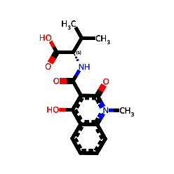 CC(C)[C@H](NC(=O)c1c(O)c2ccccc2n(C)c1=O)C(=O)O